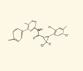 Cc1ccc(-c2cc(NC(=O)C3C(c4cc(Cl)c(C)cc4Cl)C3(Cl)Cl)ccc2C)cc1